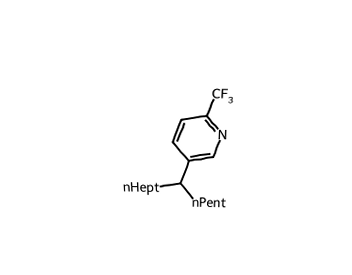 CCCCCCCC(CCCCC)c1ccc(C(F)(F)F)nc1